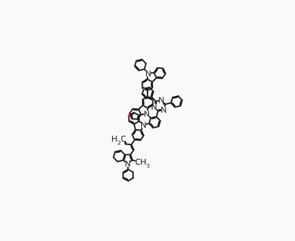 C=C/C(=C\c1c2c(n(C3=CC=CCC3)c1C)CCC=C2)c1ccc2c(c1)c1ccccc1n2-c1cccc(-c2nc(-c3ccccc3)nc(-c3ccccc3)n2)c1-n1c2ccccc2c2cc(-c3ccc4c(c3)c3ccccc3n4C3C=CC=CC3)ccc21